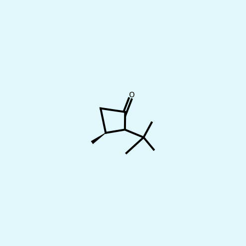 C[C@H]1CC(=O)C1C(C)(C)C